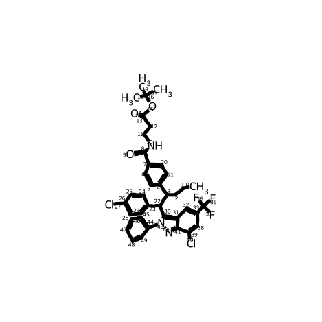 CCCC(c1ccc(C(=O)NCCC(=O)OC(C)(C)C)cc1)C(c1ccc(Cl)cc1)c1c2cc(C(F)(F)F)cc(Cl)c2nn1-c1ccccc1